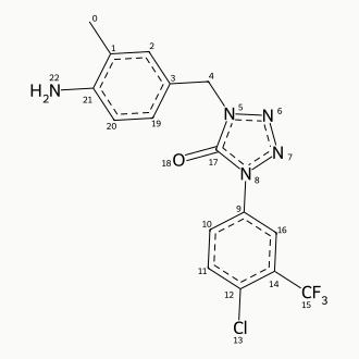 Cc1cc(Cn2nnn(-c3ccc(Cl)c(C(F)(F)F)c3)c2=O)ccc1N